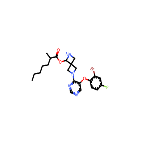 CCCCCC(C)C(=O)OC1NCC12CN(c1ncncc1Oc1ccc(F)cc1Br)C2